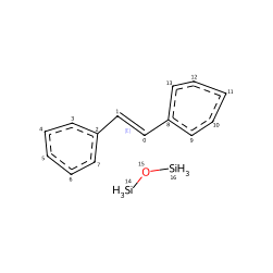 C(=C\c1ccccc1)/c1ccccc1.[SiH3]O[SiH3]